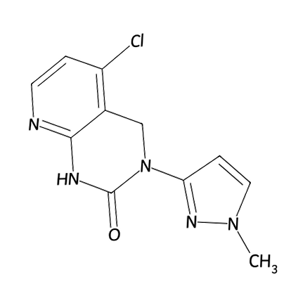 Cn1ccc(N2Cc3c(Cl)ccnc3NC2=O)n1